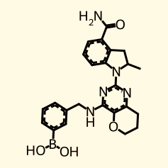 CC1Cc2c(C(N)=O)cccc2N1c1nc2c(c(NCc3cccc(B(O)O)c3)n1)OCCC2